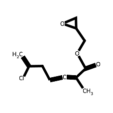 C=C(Cl)CC=C=C(C)C(=O)OCC1CO1